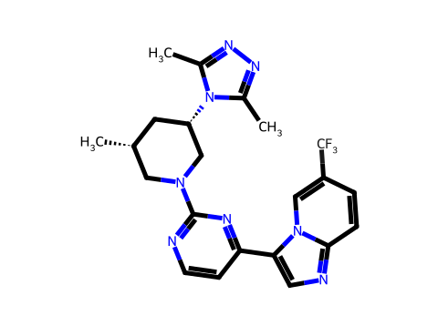 Cc1nnc(C)n1[C@H]1C[C@@H](C)CN(c2nccc(-c3cnc4ccc(C(F)(F)F)cn34)n2)C1